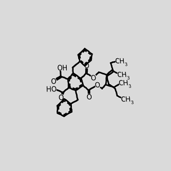 CCCCC(CC)COC(=O)c1c(Cc2ccccc2)c(C(=O)O)c(C(=O)O)c(Cc2ccccc2)c1C(=O)OCC(CC)CCCC